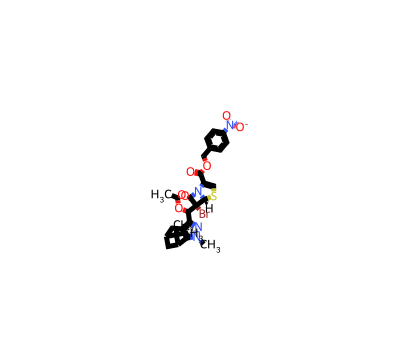 CC(=O)OC(c1nn(C)c2c1CC1CC2C1(C)C)C1(Br)C(=O)N2C(C(=O)OCc3ccc([N+](=O)[O-])cc3)=CS[C@@H]21